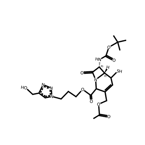 CC(=O)OCC1=CC(S)[C@H]2[C@@H](NC(=O)OC(C)(C)C)C(=O)N2C1C(=O)OCCCn1cc(CO)nn1